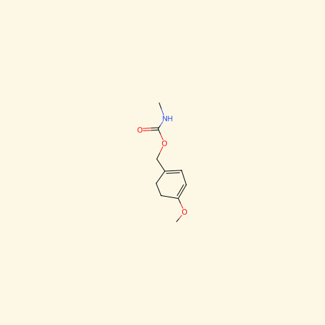 CNC(=O)OCC1=CC=C(OC)CC1